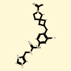 CC(=O)N1CCC2(CC(Cc3ccc(NC(=O)OCc4cnco4)cc3F)C2)C1